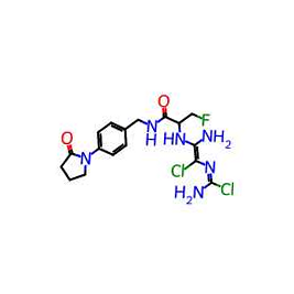 N/C(NC(CF)C(=O)NCc1ccc(N2CCCC2=O)cc1)=C(Cl)\N=C(/N)Cl